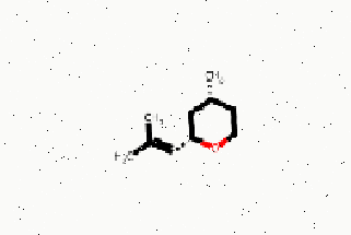 CC(C)=C[C@@H]1C[C@H](C)CCO1